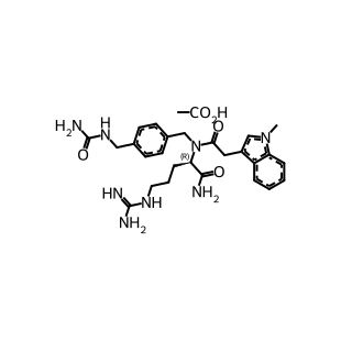 CC(=O)O.Cn1cc(CC(=O)N(Cc2ccc(CNC(N)=O)cc2)[C@H](CCCNC(=N)N)C(N)=O)c2ccccc21